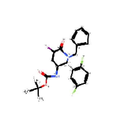 CC(C)(C)OC(=O)NC1CC(I)C(=O)N(Cc2ccccc2)[C@@H]1c1cc(F)ccc1F